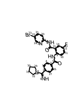 N=C(c1ccc(C(=O)Nc2ccc(F)cc2C(=O)Nc2ccc(Br)cn2)cc1)N1CCCC1